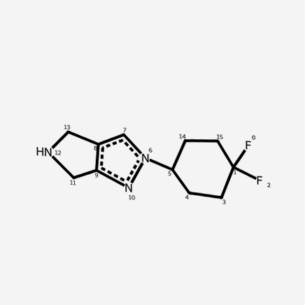 FC1(F)CCC(n2cc3c(n2)CNC3)CC1